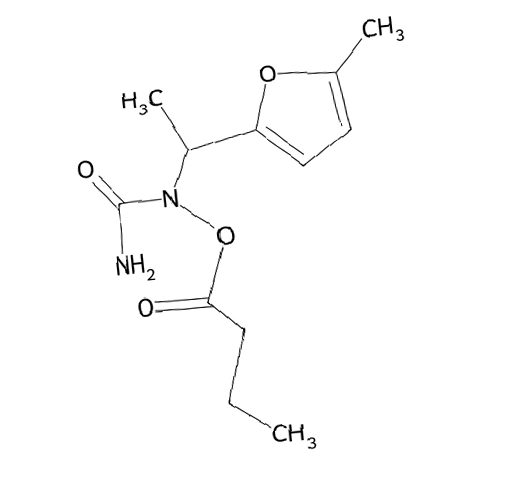 CCCC(=O)ON(C(N)=O)C(C)c1ccc(C)o1